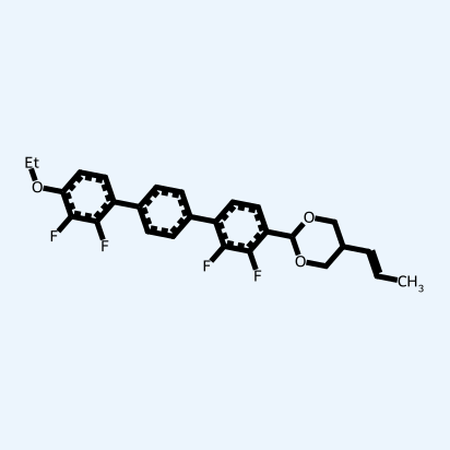 C/C=C/C1COC(c2ccc(-c3ccc(-c4ccc(OCC)c(F)c4F)cc3)c(F)c2F)OC1